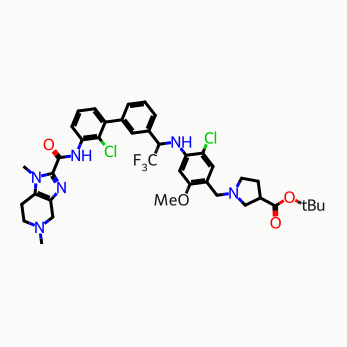 COc1cc(NC(c2cccc(-c3cccc(NC(=O)c4nc5c(n4C)CCN(C)C5)c3Cl)c2)C(F)(F)F)c(Cl)cc1CN1CCC(C(=O)OC(C)(C)C)C1